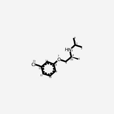 CC(C)N[C@@H](C)COc1cccc(Cl)c1